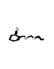 CC=COCOCC1=CCCCC1=O